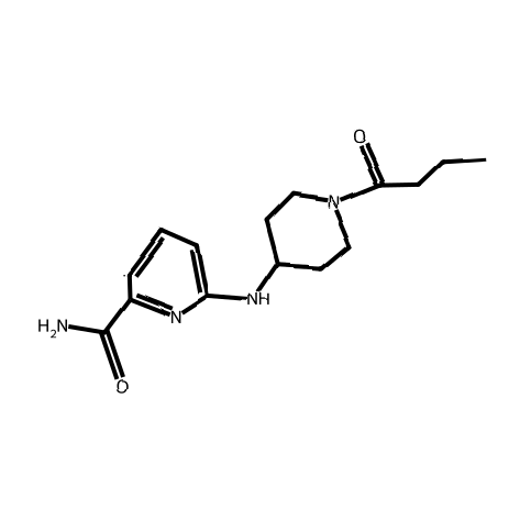 CCCC(=O)N1CCC(Nc2cc[c]c(C(N)=O)n2)CC1